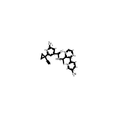 C#CC1(c2cc(C(=O)NC(C)c3nccnc3-c3ccc(C#N)cn3)cc(C(F)(F)F)n2)CC1